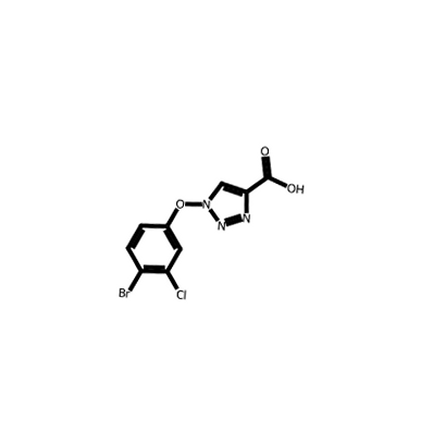 O=C(O)c1cn(Oc2ccc(Br)c(Cl)c2)nn1